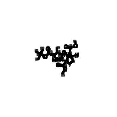 COC(=O)[C@H]1[C@@H]2CC[C@@](NC(=O)C(C)NC(=O)OC(C)(C)C)(C(=O)OC)[C@@H]21